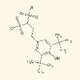 CC(C)(C)c1cc(CCC(S(=O)(=O)O)S(=O)(=O)O)cc(C(C)(C)C)c1O